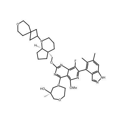 COc1nc(-c2c(C)c(C)cc3[nH]ncc23)c(F)c2nc(OC[C@]34CCC[C@H]3N(C3CC5(CCOCC5)C3)CCC4)nc(N3CCOC[C@@](C)(O)C3)c12